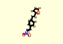 O=[N+]([O-])/C=C/c1ccc(CCC2CCCO2)cc1